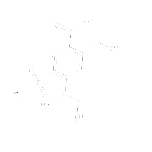 CCc1cc(C(C)CC)c(S(C)(=O)=O)cc1C(=O)Cl